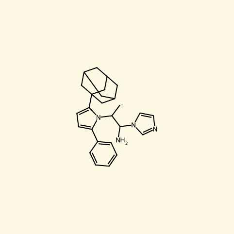 [CH2]C(C(N)n1ccnc1)n1c(-c2ccccc2)ccc1C12CC3CC(CC(C3)C1)C2